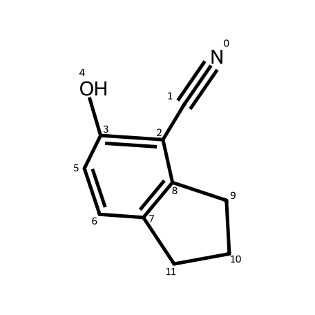 N#Cc1c(O)ccc2c1CCC2